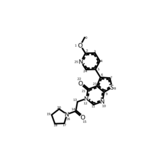 COc1ccc(-c2csc3ncn(CC(=O)N4CCCC4)c(=O)c23)cn1